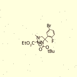 CCOC(=O)C(=O)N(C)CC(C)(NC(=O)OC(C)(C)C)c1cc(Br)ccc1F